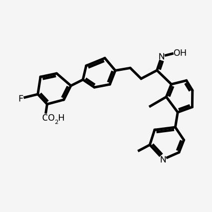 Cc1cc(-c2cccc(/C(CCc3ccc(-c4ccc(F)c(C(=O)O)c4)cc3)=N\O)c2C)ccn1